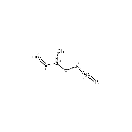 [N-]=[N+]=NC[SiH](O)C=N